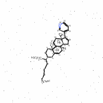 CCCCCCCCCCCCCCC(C(=O)O)[C@H]1CC[C@@]2(C)C(=CC[C@@H]3[C@@H]2CC[C@]2(C)C(c4cccnc4)=CC[C@@H]32)C1